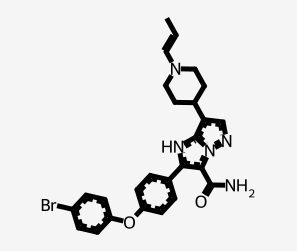 CC=CN1CCC(c2cnn3c(C(N)=O)c(-c4ccc(Oc5ccc(Br)cc5)cc4)[nH]c23)CC1